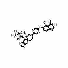 CC(C)(C)[S+]([O-])N[C@H]1c2ncsc2CC12CCN(c1cnc(Sc3ccc4nc[nH]c(=O)c4c3Cl)cn1)CC2